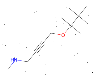 CNCC#CCO[Si](C)(C)C(C)(C)C